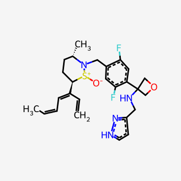 C=C/C(=C\C=C/C)[C@H]1CC[C@H](C)N(Cc2cc(F)c(C3(NCc4cc[nH]n4)COC3)cc2F)[S+]1[O-]